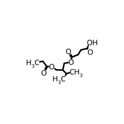 CCC(=O)OCC(COC(=O)CCC(=O)O)C(C)C